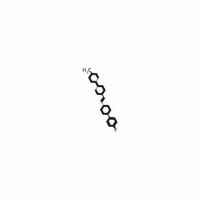 C[C@H]1CC[C@H]([C@H]2CC[C@H](C=C[C@H]3CC[C@H](c4ccc(F)cc4)CC3)CC2)CC1